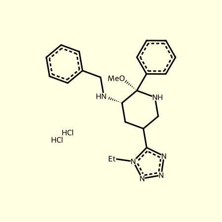 CCn1nnnc1C1CN[C@](OC)(c2ccccc2)[C@@H](NCc2ccccc2)C1.Cl.Cl